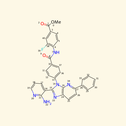 COC(=O)c1ccc(NC(=O)c2ccc(-n3c(-c4cccnc4N)nc4ccc(-c5ccccc5)nc43)cc2)c(F)c1